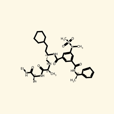 CCNC(=O)[C@@H](NC(=O)[C@H](C)NC[C@H](CCC1CCCCC1)NC(=O)c1cc(C(=O)N[C@H](C)c2ccccc2)cc(N(C)S(C)(=O)=O)c1)C(C)C